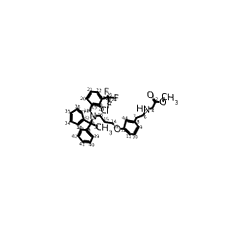 COC(=O)CNCCc1cccc(OCCCN(Cc2cccc(C(F)(F)F)c2Cl)C(C)(c2ccccc2)c2ccccc2)c1